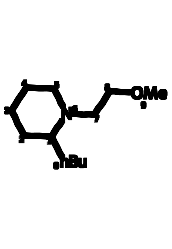 CCCCC1CCCCN1CCOC